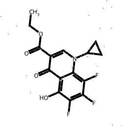 CCOC(=O)c1cn(C2CC2)c2c(F)c(F)c(F)c(O)c2c1=O